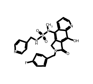 CN(c1c2c(c(O)c3ncccc13)C(=O)N(Cc1ccc(F)cc1)C2)S(=O)(=O)NCc1ccncc1